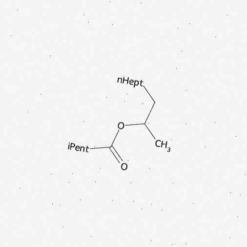 CCCCCCCCC(C)OC(=O)C(C)CCC